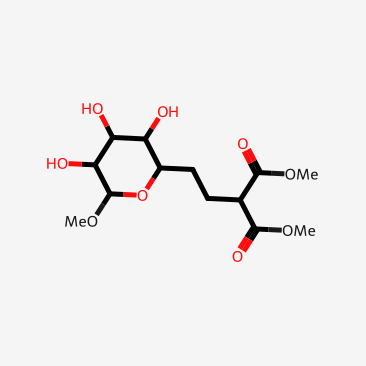 COC(=O)C(CCC1OC(OC)C(O)C(O)C1O)C(=O)OC